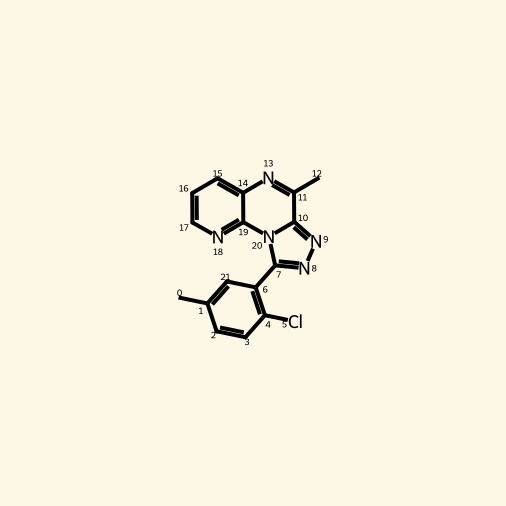 Cc1ccc(Cl)c(-c2nnc3c(C)nc4cccnc4n23)c1